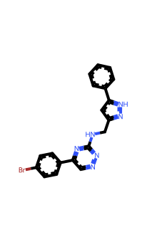 Brc1ccc(-c2cnnc(NCc3cc(-c4ccccc4)[nH]n3)n2)cc1